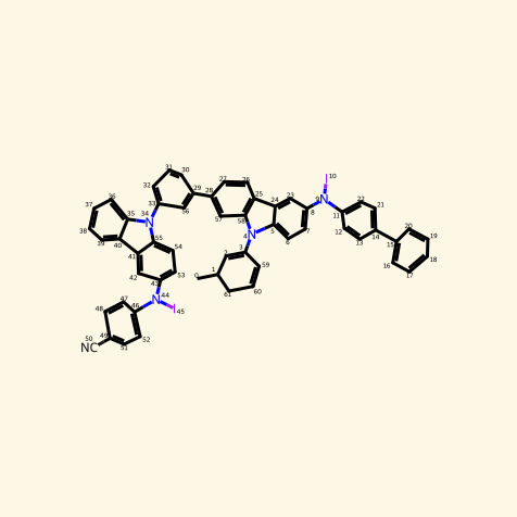 CC1C=C(n2c3ccc(N(I)c4ccc(-c5ccccc5)cc4)cc3c3ccc(-c4cccc(-n5c6ccccc6c6cc(N(I)c7ccc(C#N)cc7)ccc65)c4)cc32)C=CC1